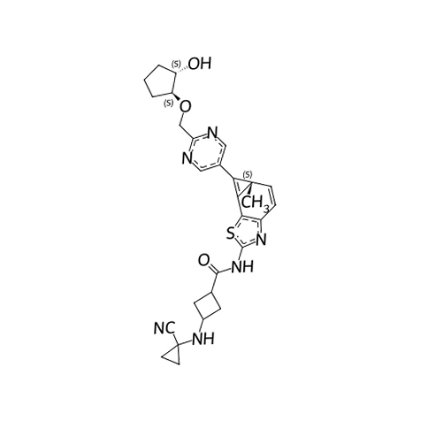 C[C@@]12C=Cc3nc(NC(=O)C4CC(NC5(C#N)CC5)C4)sc3C1=C2c1cnc(CO[C@H]2CCC[C@@H]2O)nc1